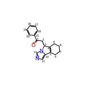 O=C(CC1C2=C(CCCC2)c2cncn21)c1ccccc1